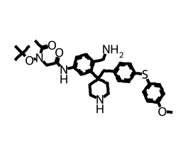 COc1ccc(Sc2ccc(CC3(c4cc(NC(=O)CN(OC(C)(C)C)C(C)=O)ccc4CN)CCNCC3)cc2)cc1